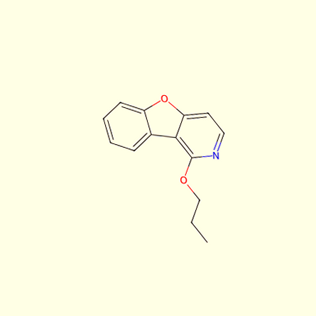 CCCOc1nccc2oc3ccccc3c12